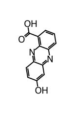 O=C(O)c1cccc2nc3cc(O)ccc3nc12